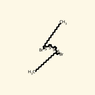 CCCCCCCCCCCCCCCCCc1cc(Br)sc1-c1ccc(-c2ccc(-c3sc(Br)cc3CCCCCCCCCCCCCCCCC)s2)s1